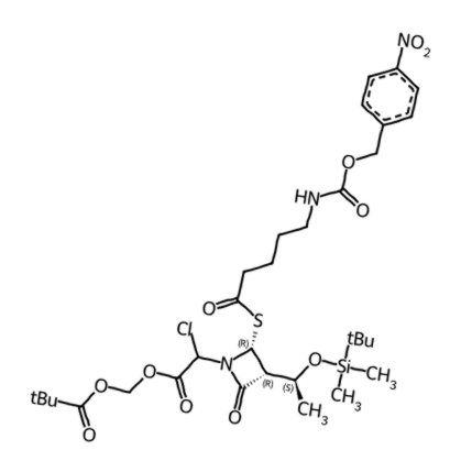 C[C@H](O[Si](C)(C)C(C)(C)C)[C@@H]1C(=O)N(C(Cl)C(=O)OCOC(=O)C(C)(C)C)[C@@H]1SC(=O)CCCCNC(=O)OCc1ccc([N+](=O)[O-])cc1